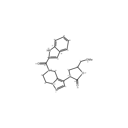 COCC1CN(c2cnn3c2CN(C(=O)c2cc4ccccc4[nH]2)CC3)C(=O)O1